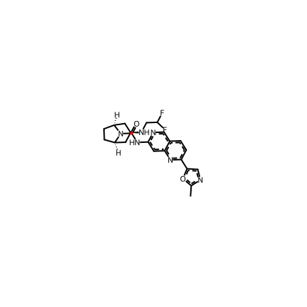 Cc1ncc(-c2ccc3cnc(NC(=O)N4[C@@H]5CC[C@H]4C[C@@H](NCC(F)F)C5)cc3n2)o1